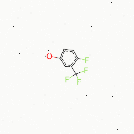 [O]c1ccc(F)c(C(F)(F)F)c1